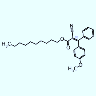 CCCCCCCCCCOC(=O)/C(C#N)=C(/c1ccccc1)c1ccc(OC)cc1